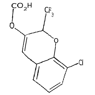 O=C(O)OC1=Cc2cccc(Cl)c2OC1C(F)(F)F